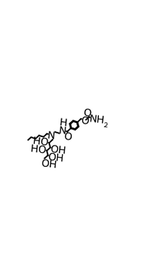 CCCCCCN(CCNC(=O)c1ccc(COC(N)=O)cc1)CC(O)C(O)C(O)C(O)CO